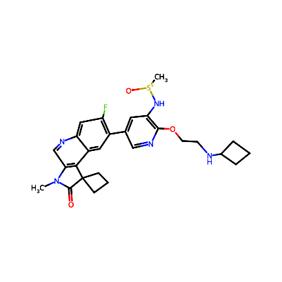 CN1C(=O)C2(CCC2)c2c1cnc1cc(F)c(-c3cnc(OCCNC4CCC4)c(N[S+](C)[O-])c3)cc21